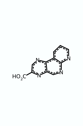 O=C(O)c1cnc2c(cnc3ncccc32)n1